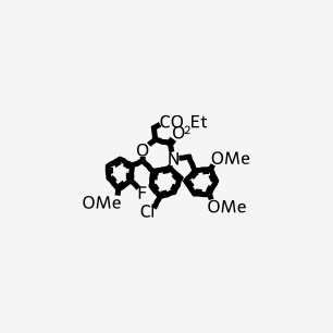 CCOC(=O)CC1OC(c2cccc(OC)c2F)c2cc(Cl)ccc2N(Cc2ccc(OC)cc2OC)C1=O